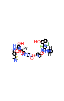 Cc1ncsc1-c1ccc([C@H](C)NC(=O)[C@@H]2C[C@@H](O)CN2C(=O)[C@@H](c2cc(N3CCN(C(=O)OC[C@@H]4CC[C@@]5(COc6nc(N7C[C@H]8CC[C@@H](C7)N8)c7cnc(-c8cc(O)cc9cccc(Cl)c89)c(F)c7n6)CCCN45)CC3)no2)C(C)C)cc1